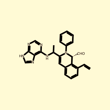 C=Cc1cccc2c1[C@@H](C=O)N(c1ccccc1)C(C(C)Nc1ncnc3[nH]cnc13)=C2